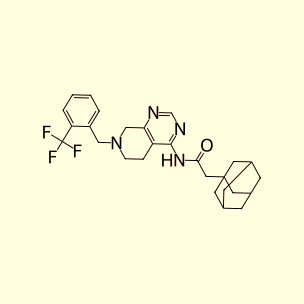 O=C(CC12CC3CC(CC(C3)C1)C2)Nc1ncnc2c1CCN(Cc1ccccc1C(F)(F)F)C2